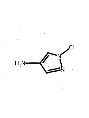 Nc1cnn(Cl)c1